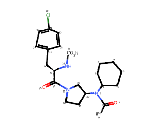 CC(C)C(=O)N(C1CCCCC1)[C@H]1CCN(C(=O)[C@@H](Cc2ccc(Cl)cc2)NC(=O)O)C1